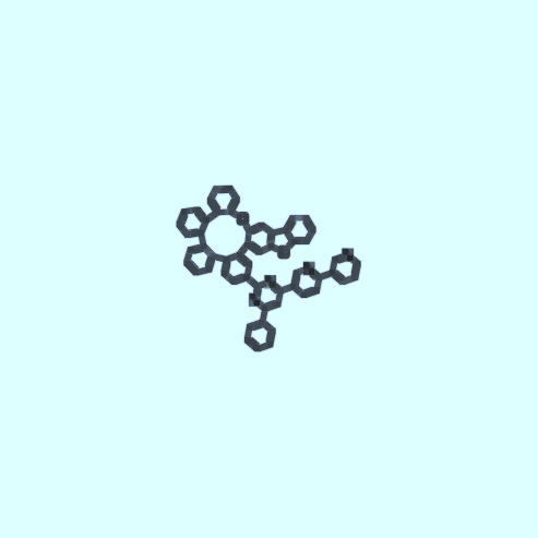 c1ccc(-c2cc(-c3ccc(-c4cccnc4)nc3)nc(-c3ccc4c(c3)-c3cc5oc6ccccc6c5cc3Oc3ccccc3-c3ccccc3-c3ccccc3-4)n2)cc1